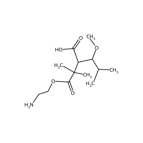 COC(C(C)C)C(C(=O)O)C(C)(C)C(=O)OCCN